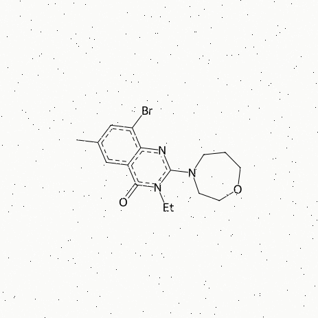 CCn1c(N2CCCOCC2)nc2c(Br)cc(C)cc2c1=O